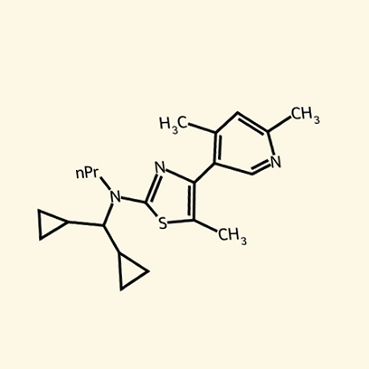 CCCN(c1nc(-c2cnc(C)cc2C)c(C)s1)C(C1CC1)C1CC1